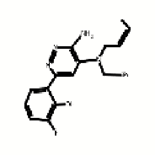 C/C=C\CN(CC(C)C)c1cc(-c2cccc(F)c2O)nnc1N